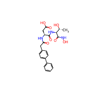 C[C@@H](O)[C@H](NC(=O)[C@H](CC(=O)O)NC(=O)Cc1ccc(-c2ccccc2)cc1)C(=O)NO